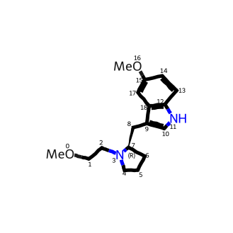 COCCN1CCC[C@@H]1Cc1c[nH]c2ccc(OC)cc12